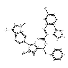 Cn1nc(N)c2ccc(-c3nc([C@H](Cc4ccccc4)NC(=O)/C=C/c4cc(Cl)ccc4-n4cnnn4)[nH]c3Cl)cc21